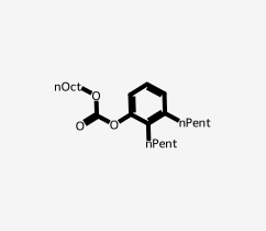 CCCCCCCCOC(=O)Oc1cccc(CCCCC)c1CCCCC